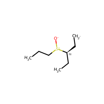 [CH2]C[C@@H](CC)[S+]([O-])CCC